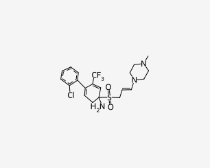 CN1CCN(C=CCS(=O)(=O)C2(N)C=C(C(F)(F)F)C(c3ccccc3Cl)=CC2)CC1